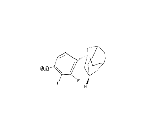 CC(C)COc1ccc([C@]23CC4CC(C[C@H](C4)C2)C3)c(F)c1F